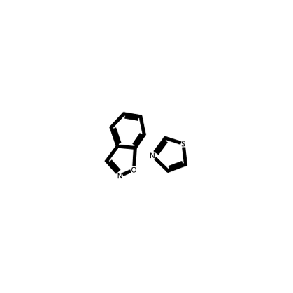 c1ccc2oncc2c1.c1cscn1